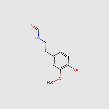 COc1cc(CCNC=O)ccc1O